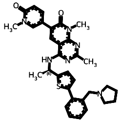 Cc1nc(N[C@H](C)c2ccc(-c3ccccc3CN3CCCC3)s2)c2cc(-c3ccc(=O)n(C)c3)c(=O)n(C)c2n1